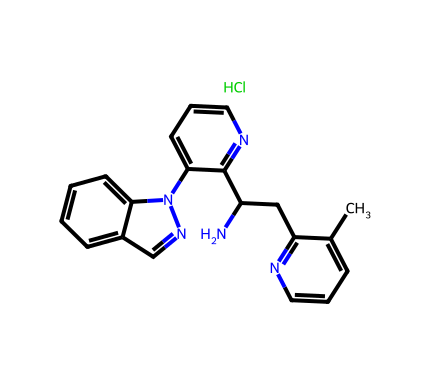 Cc1cccnc1CC(N)c1ncccc1-n1ncc2ccccc21.Cl